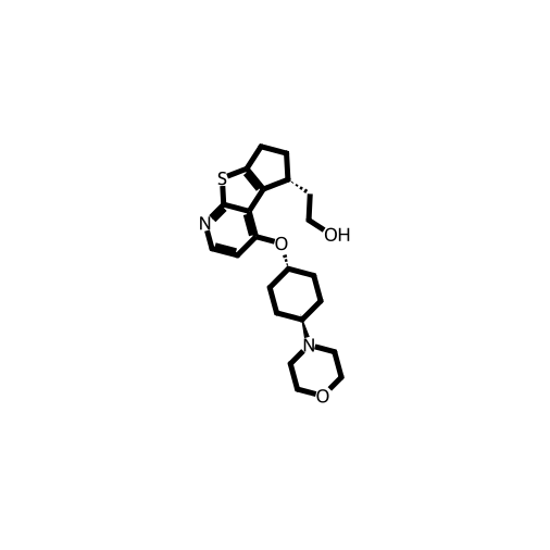 OCC[C@H]1CCc2sc3nccc(O[C@H]4CC[C@H](N5CCOCC5)CC4)c3c21